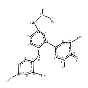 Cn1cc(-c2cc(N[S+](C)[O-])ccc2Oc2ccc(F)cc2F)cc(F)c1=O